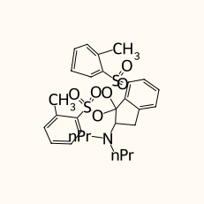 CCCN(CCC)C1Cc2ccccc2C1(OS(=O)(=O)c1ccccc1C)OS(=O)(=O)c1ccccc1C